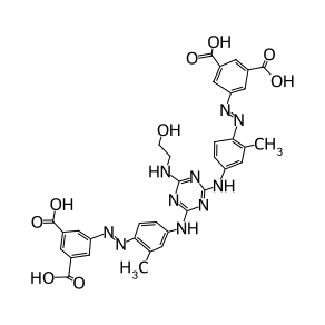 Cc1cc(Nc2nc(NCCO)nc(Nc3ccc(N=Nc4cc(C(=O)O)cc(C(=O)O)c4)c(C)c3)n2)ccc1N=Nc1cc(C(=O)O)cc(C(=O)O)c1